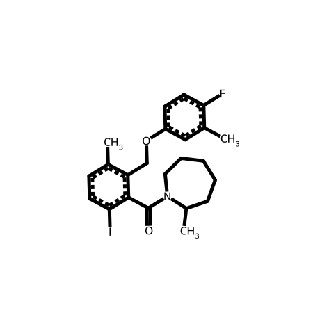 Cc1cc(OCc2c(C)ccc(I)c2C(=O)N2CCCCCC2C)ccc1F